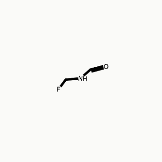 O=CNCF